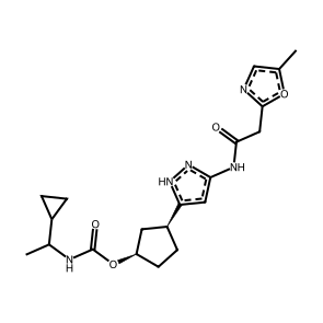 Cc1cnc(CC(=O)Nc2cc([C@H]3CC[C@@H](OC(=O)NC(C)C4CC4)C3)[nH]n2)o1